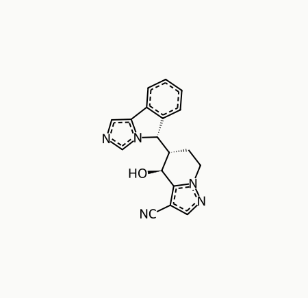 N#Cc1cnn2c1[C@@H](O)[C@H]([C@H]1c3ccccc3-c3cncn31)CC2